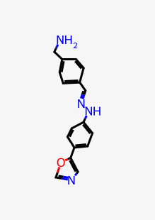 NCc1ccc(C=NNc2ccc(-c3cnco3)cc2)cc1